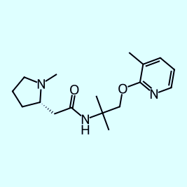 Cc1cccnc1OCC(C)(C)NC(=O)C[C@@H]1CCCN1C